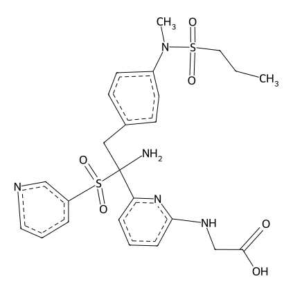 CCCS(=O)(=O)N(C)c1ccc(CC(N)(c2cccc(NCC(=O)O)n2)S(=O)(=O)c2cccnc2)cc1